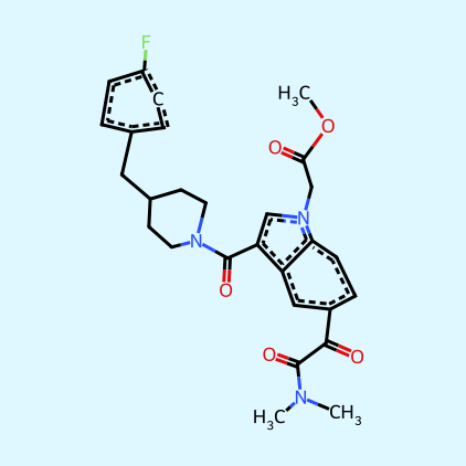 COC(=O)Cn1cc(C(=O)N2CCC(Cc3ccc(F)cc3)CC2)c2cc(C(=O)C(=O)N(C)C)ccc21